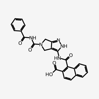 O=C(NC(=O)N1Cc2n[nH]c(NC(=O)c3c(C(=O)O)ccc4ccccc34)c2C1)c1ccccc1